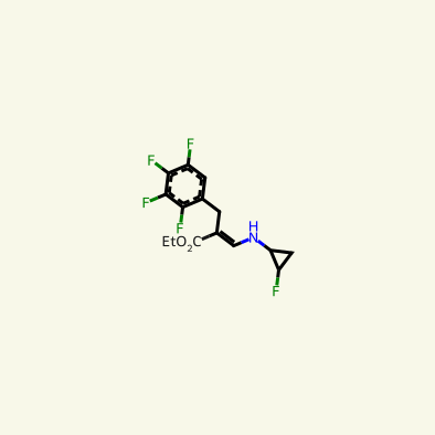 CCOC(=O)/C(=C/NC1CC1F)Cc1cc(F)c(F)c(F)c1F